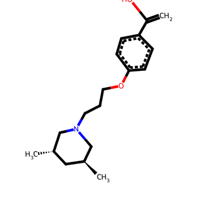 C=C(O)c1ccc(OCCCN2C[C@@H](C)C[C@H](C)C2)cc1